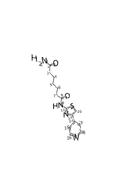 NC(=O)CCCCCC(=O)Nc1nc(-c2ccncc2)cs1